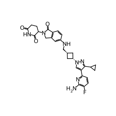 Nc1nc(-c2cn([C@H]3C[C@H](CNc4ccc5c(c4)CN(C4CCC(=O)NC4=O)C5=O)C3)nc2C2CC2)ccc1F